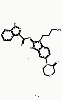 O=C(/N=c1\[nH]c2cc(N3CCOCC3=O)ccc2n1CCCO)c1n[nH]c2ccccc12